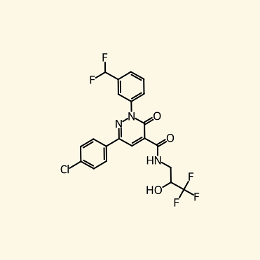 O=C(NCC(O)C(F)(F)F)c1cc(-c2ccc(Cl)cc2)nn(-c2cccc(C(F)F)c2)c1=O